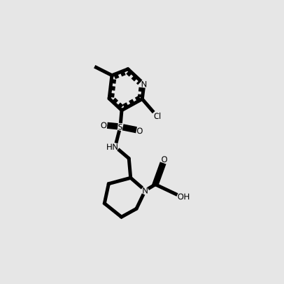 Cc1cnc(Cl)c(S(=O)(=O)NCC2CCCCN2C(=O)O)c1